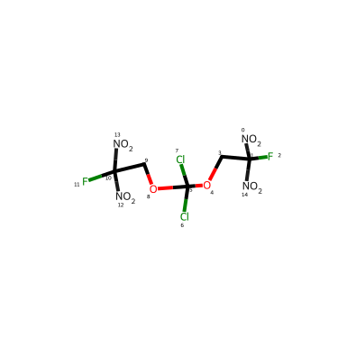 O=[N+]([O-])C(F)(COC(Cl)(Cl)OCC(F)([N+](=O)[O-])[N+](=O)[O-])[N+](=O)[O-]